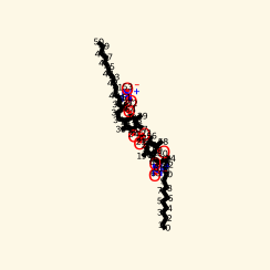 CCCCCCCCCCCC(=CC1(C)CCc2c(C)c(OC(=O)Oc3c(C)c(C)c4c(c3C)CCC(C)(C=C(CCCCCCCCCCC)[N+](=O)[O-])O4)c(C)c(C)c2O1)[N+](=O)[O-]